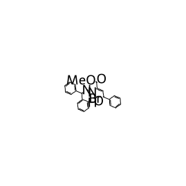 COC(=O)/C(=C/C(=O)c1ccccc1)N/N=C(/c1ccccc1)c1ccccc1Br